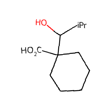 CC(C)C(O)C1(C(=O)O)CCCCC1